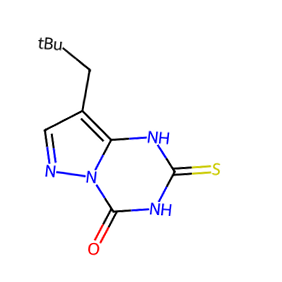 CC(C)(C)Cc1cnn2c(=O)[nH]c(=S)[nH]c12